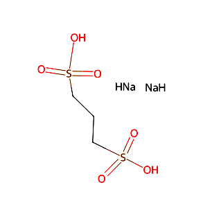 O=S(=O)(O)CCCS(=O)(=O)O.[NaH].[NaH]